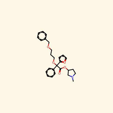 CN1CCC(OC(=O)C(OCCCOCc2ccccc2)(c2ccccc2)c2ccco2)C1